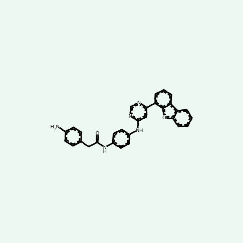 Nc1ccc(CC(=O)Nc2ccc(Nc3cc(-c4cccc5c4oc4ccccc45)ncn3)cc2)cc1